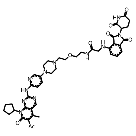 CC(=O)c1c(C)c2cnc(Nc3ccc(N4CCN(CCOCCNC(=O)CNc5cccc6c5C(=O)N(C5CCC(=O)NC5=O)C6=O)CC4)cn3)nc2n(C2CCCC2)c1=O